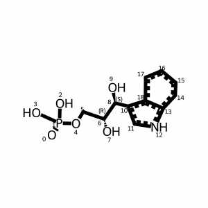 O=P(O)(O)OC[C@@H](O)[C@@H](O)c1c[nH]c2ccccc12